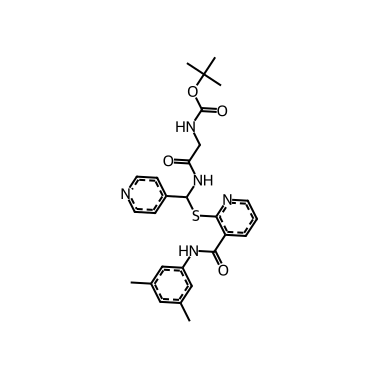 Cc1cc(C)cc(NC(=O)c2cccnc2SC(NC(=O)CNC(=O)OC(C)(C)C)c2ccncc2)c1